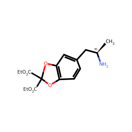 CCOC(=O)C1(C(=O)OCC)Oc2ccc(C[C@@H](C)N)cc2O1